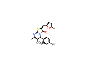 CCOC(=O)C1=C(C)N=c2s/c(=C/c3ccc(C)o3)c(=O)n2C1c1ccc(C(C)C)cc1